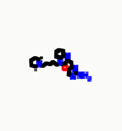 C[C@@H]1CCC[C@H](C)N1CCCCCn1c(=O)c(Cc2ccnc(N)n2)nc2ccccc21